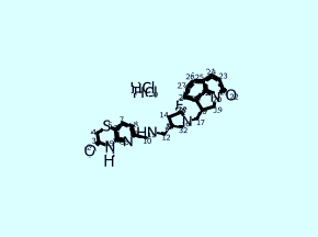 Cl.Cl.O=C1CSc2ccc(CNC[C@H]3CCN(CC4Cn5c(=O)ccc6ccc(F)c4c65)C3)nc2N1